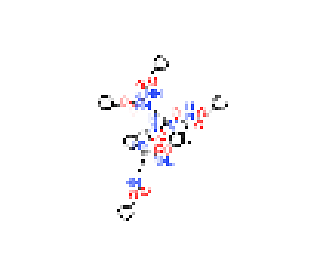 Cc1cc(O)cc2c1C[C@H](NC(=O)OCc1ccccc1)C(=O)N2[C@H](CCCN/C(=N\C(=O)OCc1ccccc1)NC(=O)OCc1ccccc1)C(=O)N[C@@H](Cc1ccccc1)C(=O)N[C@@H](CCCCNC(=O)OCc1ccccc1)C(N)=O